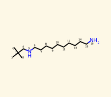 CC(C)(C)CNCCCCCCCCCCN